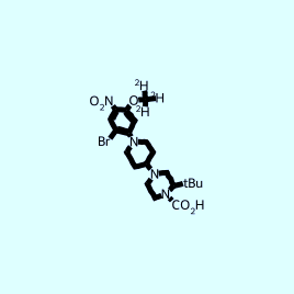 [2H]C([2H])([2H])Oc1cc(N2CCC(N3CCN(C(=O)O)C(C(C)(C)C)C3)CC2)c(Br)cc1[N+](=O)[O-]